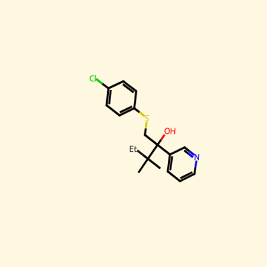 CCC(C)(C)C(O)(CSc1ccc(Cl)cc1)c1cccnc1